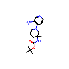 CC1(NC(=O)OC(C)(C)C)CCCN(c2ccncc2N)C1